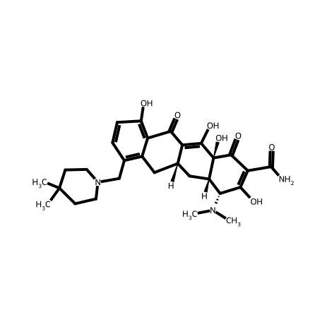 CN(C)[C@H]1C(O)=C(C(N)=O)C(=O)[C@@]2(O)C(O)=C3C(=O)c4c(O)ccc(CN5CCC(C)(C)CC5)c4C[C@H]3C[C@@H]12